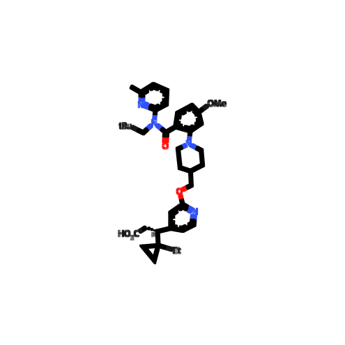 CCC1([C@H](CC(=O)O)c2ccnc(OCC3CCN(c4cc(OC)ccc4C(=O)N(CC(C)(C)C)c4cccc(C)n4)CC3)c2)CC1